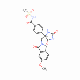 COc1ccc2c(c1)C(=O)N(C[C@@]1(c3ccc(C(=O)NS(C)(=O)=O)cc3)NC(=O)NC1=O)C2